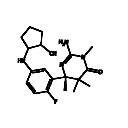 CN1C(=O)C(C)(C)[C@](C)(c2cc(NC3CCCC3C#N)ccc2F)N=C1N